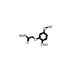 CCCOc1ccc(C=O)c(OCC(=O)NC)c1